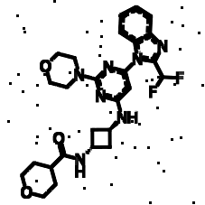 O=C(N[C@H]1C[C@H](Nc2cc(-n3c(C(F)F)nc4ccccc43)nc(N3CCOCC3)n2)C1)C1CCOCC1